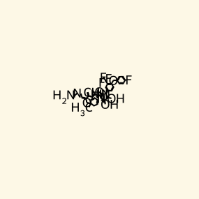 C=C(C=N)/C(=C\C=N/CN)OC1(C)C=CC(N2C(=O)N(c3ccc(Oc4ccc(F)cc4)c(C(F)(F)F)c3)C(O)C2O)=CC1